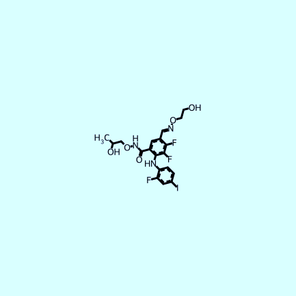 CC(O)CONC(=O)c1cc(C=NOCCO)c(F)c(F)c1Nc1ccc(I)cc1F